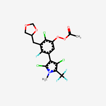 CC(=O)OOc1cc(-c2c(Cl)c(C(F)(F)F)n(C)c2Cl)c(F)c(CC2COCO2)c1Cl